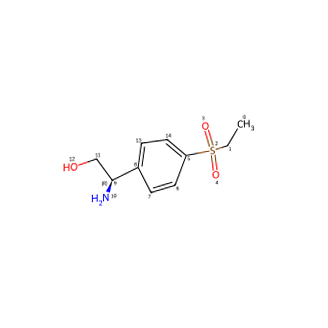 CCS(=O)(=O)c1ccc([C@@H](N)CO)cc1